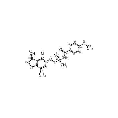 Cc1cc(OC[C@](C)(C#N)NC(=O)c2ccc(OC(F)(F)F)cc2)c(Cl)c2c1COB2O